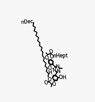 CCCCCCCCCCCCCCCCCCCCCCCCCCCCCCCCOC(=O)C(C)Oc1ccc(-c2nc(C)nc(-c3ccc(OC(C)C(=O)OCCCCCCC)cc3O)n2)c(O)c1